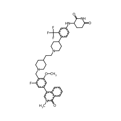 COc1cc(-c2cn(C)c(=O)c3ccccc23)cc(F)c1CN1CCC(CCN2CCC(c3ccc(NC4CCC(=O)NC4=O)cc3C(F)(F)F)CC2)CC1